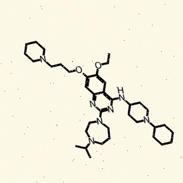 CCOc1cc2c(NC3CCN(C4CCCCC4)CC3)nc(N3CCCN(C(C)C)CC3)nc2cc1OCCCN1CCCCC1